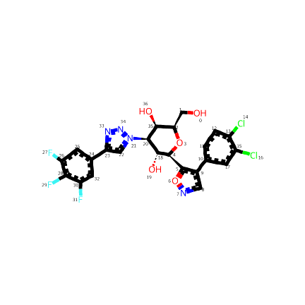 OC[C@H]1O[C@@H](c2oncc2-c2ccc(Cl)c(Cl)c2)[C@H](O)[C@@H](n2cc(-c3cc(F)c(F)c(F)c3)nn2)[C@H]1O